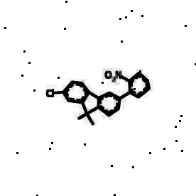 CC1(C)c2ccc(-c3ccccc3[N+](=O)[O-])cc2-c2ccc(Cl)cc21